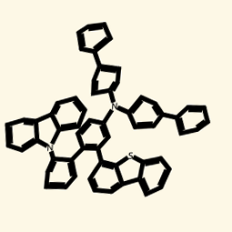 c1ccc(-c2ccc(N(c3ccc(-c4ccccc4)cc3)c3ccc(-c4ccccc4-n4c5ccccc5c5ccccc54)c(-c4cccc5c4sc4ccccc45)c3)cc2)cc1